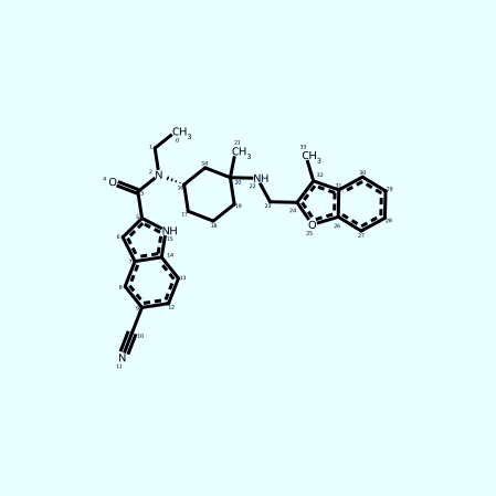 CCN(C(=O)c1cc2cc(C#N)ccc2[nH]1)[C@H]1CCCC(C)(NCc2oc3ccccc3c2C)C1